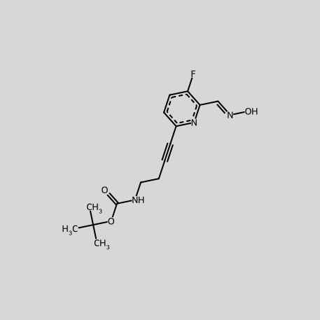 CC(C)(C)OC(=O)NCCC#Cc1ccc(F)c(C=NO)n1